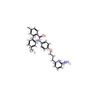 Cc1ccc(C(=O)Nc2ccc(OCCCc3cccc(N)n3)cc2)c(-c2ccc(C(F)(F)F)cc2)c1